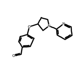 O=Cc1ccc(OC2CCN(c3ccccn3)C2)cc1